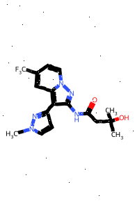 Cn1ccc(-c2c(NC(=O)CC(C)(C)O)nn3ccc(C(F)(F)F)cc23)n1